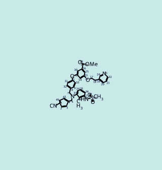 [C-]#[N+]c1ccc(CN(Cc2ccc(Oc3cc(OCCc4cccnc4)cc(C(=O)OC)c3)cc2)c2cccc(NS(C)(=O)=O)c2C)cc1